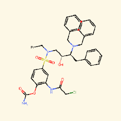 CC(C)CN(C[C@@H](O)[C@H](Cc1ccccc1)N(Cc1ccccc1)Cc1ccccc1)S(=O)(=O)c1ccc(OC(N)=O)c(NC(=O)CCl)c1